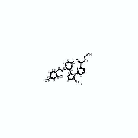 CCOC(=O)c1cccc(-n2c(C)ccc2-c2cc(Cl)ccc2OCc2ccc(Cl)cc2Cl)n1